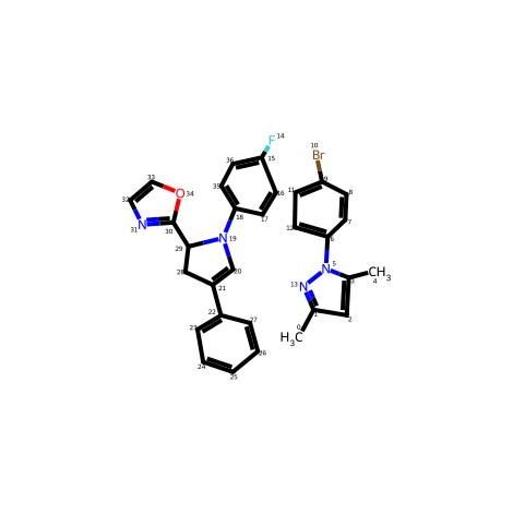 Cc1cc(C)n(-c2ccc(Br)cc2)n1.Fc1ccc(N2C=C(c3ccccc3)CC2c2ncco2)cc1